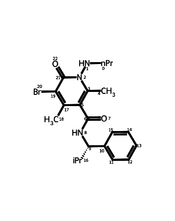 CCCNn1c(C)c(C(=O)N[C@H](c2ccccc2)C(C)C)c(C)c(Br)c1=O